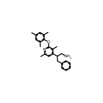 Cc1cc(C)c(Oc2nc(C)cc(C(CN)Cc3ccccc3)c2C)c(C)c1